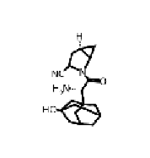 N#CC1C[C@H]2CC2N1C(=O)[C@@H](N)C12CC3CC(CC(O)(C3)C1)C2